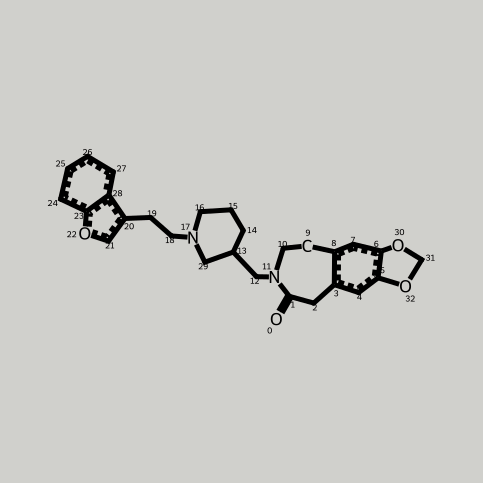 O=C1Cc2cc3c(cc2CCN1CC1CCCN(CCc2coc4ccccc24)C1)OCO3